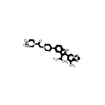 Cc1cc(-c2[nH]c3ccc(C4CCN(CC(=O)N5CCS(=O)(=O)NC5)CC4)cc3c2C(C)C)cn2ncnc12